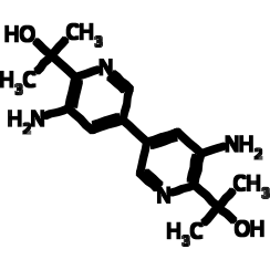 CC(C)(O)c1ncc(-c2cnc(C(C)(C)O)c(N)c2)cc1N